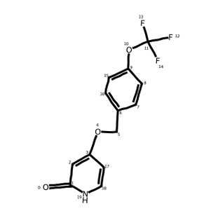 O=c1cc(OCc2ccc(OC(F)(F)F)cc2)cc[nH]1